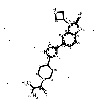 CC(C)C(=O)N1CCC(c2noc(-c3ccc4oc(=O)n(C5COC5)c4c3)n2)CC1